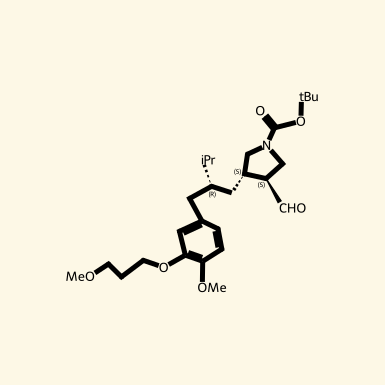 COCCCOc1cc(C[C@@H](C[C@@H]2CN(C(=O)OC(C)(C)C)C[C@H]2C=O)C(C)C)ccc1OC